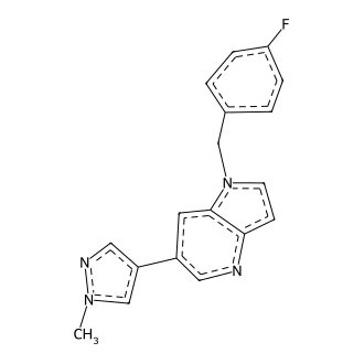 Cn1cc(-c2cnc3ccn(Cc4ccc(F)cc4)c3c2)cn1